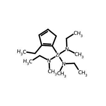 CCC1=[C]([Zr]([N](C)CC)([N](C)CC)[N](C)CC)CC=C1